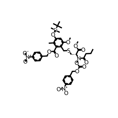 CCCC(=O)N(OC(=O)OCc1ccc([N+](=O)[O-])cc1)[C@H](CSCc1c(OC)cc(O[Si](C)(C)C(C)(C)C)c(C)c1C(=O)OCc1ccc([N+](=O)[O-])cc1)C(=O)OC